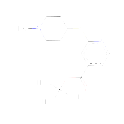 CN1CCC(Sc2cc(C(=O)OC(C)(C)C)ccn2)CC1